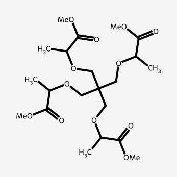 COC(=O)C(C)OCC(COC(C)C(=O)OC)(COC(C)C(=O)OC)COC(C)C(=O)OC